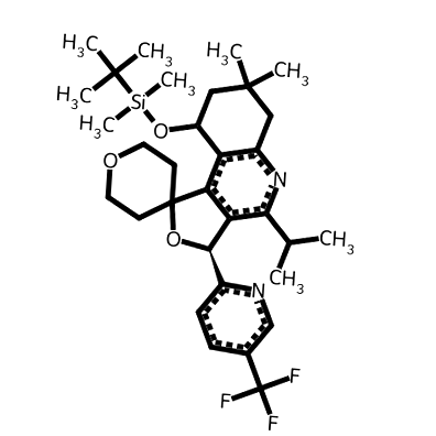 CC(C)c1nc2c(c3c1[C@@H](c1ccc(C(F)(F)F)cn1)OC31CCOCC1)C(O[Si](C)(C)C(C)(C)C)CC(C)(C)C2